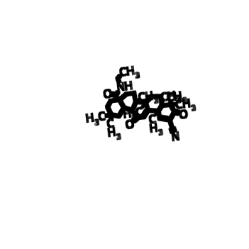 CCNC(=O)[C@]12CCC(C)(C)CC1C1C(=O)C=C3[C@@]4(C)C=C(C#N)C(=O)C(C)(C)[C@]4(C)CC[C@@]3(C)[C@]1(C)CC2